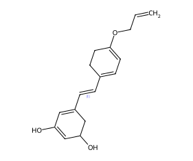 C=CCOC1=CC=C(/C=C/C2=CC(O)=CC(O)C2)CC1